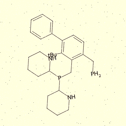 CC(C)(C)c1c(-c2ccccc2)ccc(CP)c1CP(C1CCCCN1)C1CCCCN1